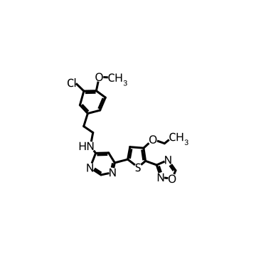 CCOc1cc(-c2cc(NCCc3ccc(OC)c(Cl)c3)ncn2)sc1-c1ncon1